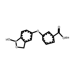 COC(=O)c1cccc(Oc2ccc3c(c2)COB3O)c1